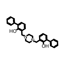 Oc1c(CN2CCN(Cc3cccc(-c4ccccc4)c3O)CC2)cccc1-c1ccccc1